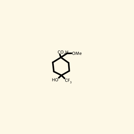 COCC1(C(=O)O)CCC(O)(C(F)(F)F)CC1